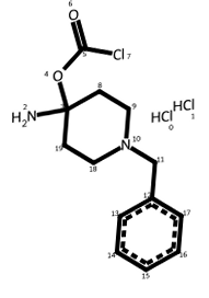 Cl.Cl.NC1(OC(=O)Cl)CCN(Cc2ccccc2)CC1